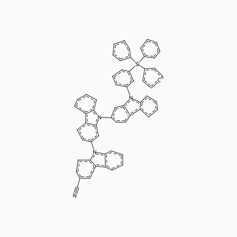 N#Cc1ccc2c(c1)c1ccccc1n2-c1ccc2c3ccccc3n(-c3ccc4c5ccccc5n(-c5cccc([Si](c6ccccc6)(c6ccccc6)c6ccccc6)c5)c4c3)c2c1